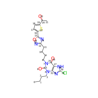 CCCCn1c(=O)n(CCCCc2noc(-c3ccc(C(C)=O)s3)n2)c(=O)c2[nH]c(Cl)nc21